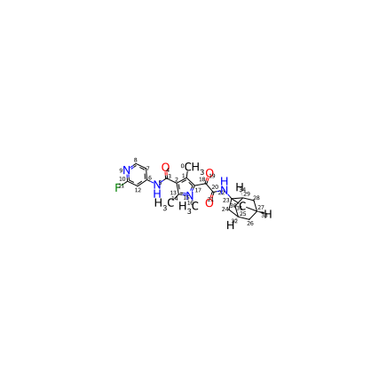 Cc1c(C(=O)Nc2ccnc(F)c2)c(C)n(C)c1C(=O)C(=O)NC12C[C@@H]3C[C@@H](C[C@H]1C3)C2